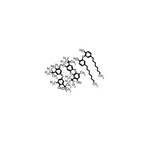 CCCCCCCCc1ccc(O)c(Sc2cc(CCCCCCCC)ccc2O)c1.Cc1cc(O)c(C(C)(C)C)cc1Sc1cc(C(C)(C)C)c(O)cc1C.Cc1cc(Sc2cc(C)c(O)c(C(C)(C)C)c2)cc(C(C)(C)C)c1O